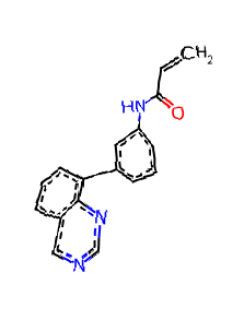 C=CC(=O)Nc1cccc(-c2cccc3cncnc23)c1